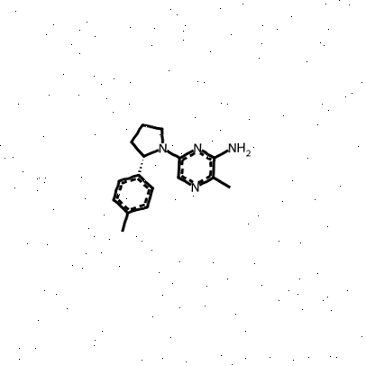 Cc1ccc([C@@H]2CCCN2c2cnc(C)c(N)n2)cc1